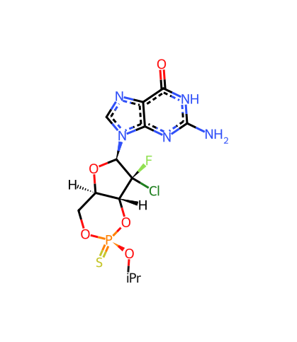 CC(C)O[P@@]1(=S)OC[C@H]2O[C@@H](n3cnc4c(=O)[nH]c(N)nc43)[C@](F)(Cl)[C@@H]2O1